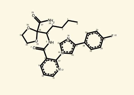 CCCCC(NC(=O)c1cccnc1-n1cnc(-c2ccc(F)cc2)c1)C1(C(N)=O)OCCO1